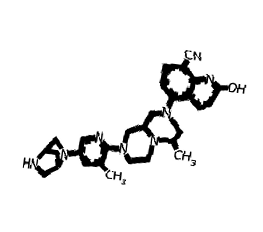 Cc1cc(N2CC3CC2CN3)cnc1N1CCN2C(C)CN(c3ccc(C#N)c4nc(O)ccc34)CC2C1